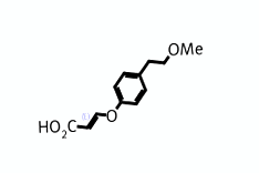 COCCc1ccc(O/C=C/C(=O)O)cc1